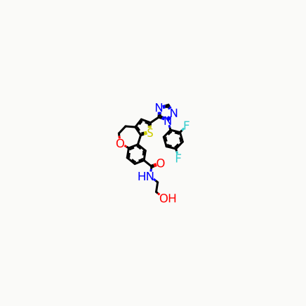 O=C(NCCO)c1ccc2c(c1)-c1sc(-c3ncnn3-c3ccc(F)cc3F)cc1CCO2